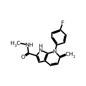 C=C1C=Cc2cc(C(=O)NC)[nH]c2N1c1ccc(F)cc1